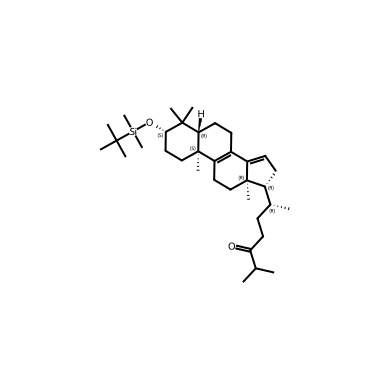 CC(C)C(=O)CC[C@@H](C)[C@H]1CC=C2C3=C(CC[C@@]21C)[C@@]1(C)CC[C@H](O[Si](C)(C)C(C)(C)C)C(C)(C)[C@@H]1CC3